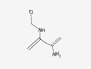 C=C(N)C(=C)NCCl